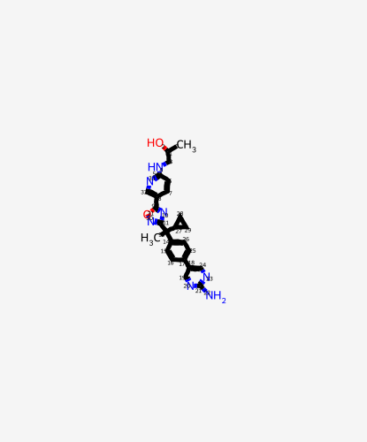 CC(O)CNc1ccc(-c2nc(C(C)(c3ccc(-c4cnc(N)nc4)cc3)C3CC3)no2)cn1